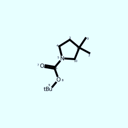 CC1(C)CCN(C(=O)OC(C)(C)C)C1